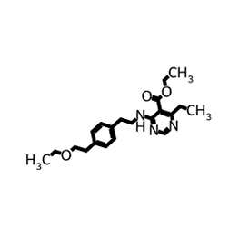 CCOCCc1ccc(CCNc2ncnc(CC)c2C(=O)OCC)cc1